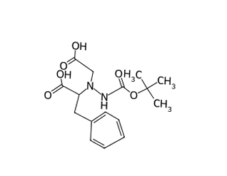 CC(C)(C)OC(=O)NN(CC(=O)O)C(Cc1ccccc1)C(=O)O